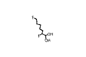 OC(O)C(F)CCCCCF